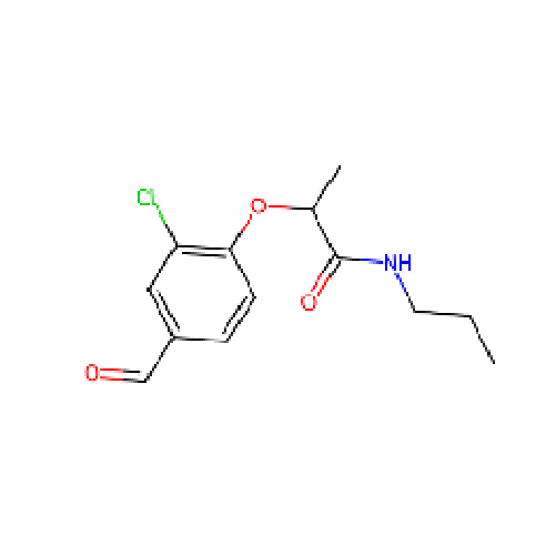 CCCNC(=O)C(C)Oc1ccc(C=O)cc1Cl